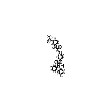 COC(=O)c1cccc(N(C)C(=O)CCN2CCC(OC(=O)Nc3ccccc3-c3ccccc3)CC2)c1